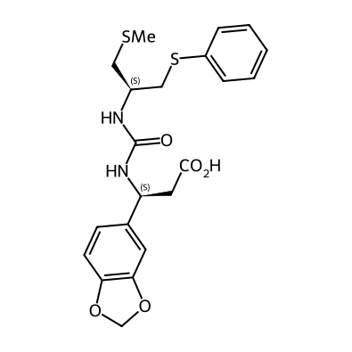 CSC[C@@H](CSc1ccccc1)NC(=O)N[C@@H](CC(=O)O)c1ccc2c(c1)OCO2